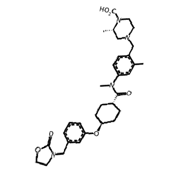 Cc1cc(N(C)C(=O)[C@H]2CC[C@H](Oc3cccc(CN4CCOC4=O)c3)CC2)ccc1CN1CCN(C(=O)O)[C@@H](C)C1